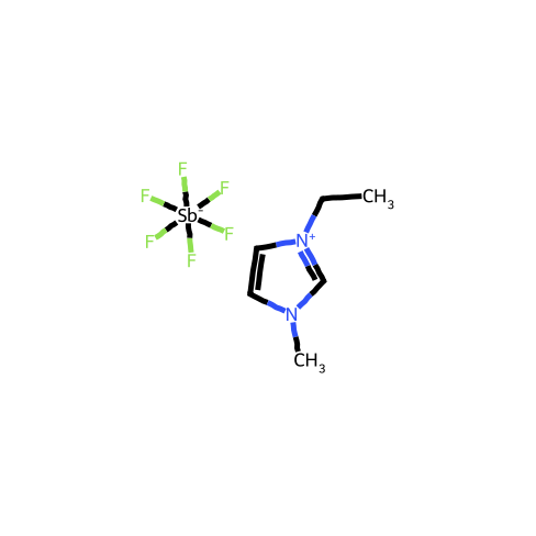 CC[n+]1ccn(C)c1.[F][Sb-]([F])([F])([F])([F])[F]